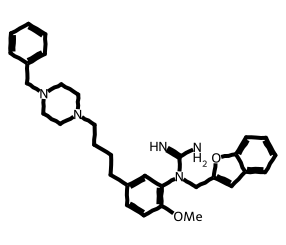 COc1ccc(CCCCN2CCN(Cc3ccccc3)CC2)cc1N(Cc1cc2ccccc2o1)C(=N)N